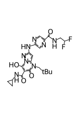 CC(C)(C)Cn1c(=O)c(C(=O)NC2CC2)c(O)n2nc(Nc3cnc(C(=O)NCC(F)F)cn3)cc12